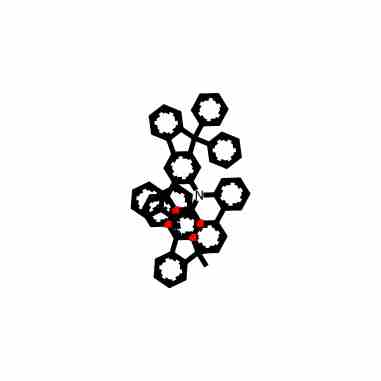 CC1(C)c2ccccc2-c2ccc(N(c3cc4c(cc3-c3ccccc3)-c3ccccc3C4(c3ccccc3)c3ccccc3)c3ccccc3-c3cccc4oc5c6ccccc6ccc5c34)cc21